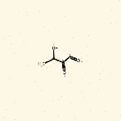 CC(O)C(=O)C=O